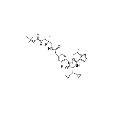 CC(C)n1nccc1C(=O)NC(C(=O)Nc1ccc(CC(=O)NCC(F)(F)CNC(=O)OC(C)(C)C)cc1F)C(C1CC1)C1CC1